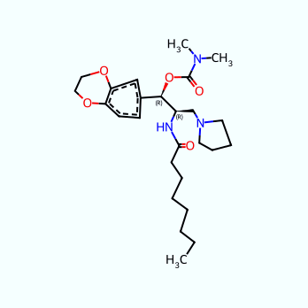 CCCCCCCC(=O)N[C@H](CN1CCCC1)[C@H](OC(=O)N(C)C)c1ccc2c(c1)OCCO2